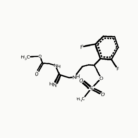 COC(=O)NC(=N)NCC(OS(C)(=O)=O)c1c(F)cccc1F